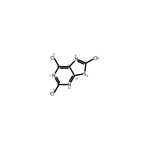 Clc1nc(Cl)c2nc(Cl)sc2n1